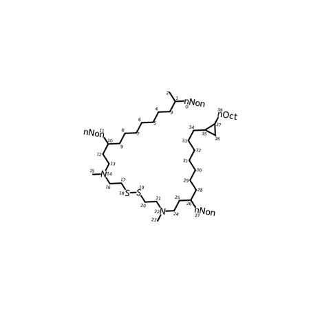 CCCCCCCCCC(C)CCCCCCCC(CCCCCCCCC)CCN(C)CCSSCCN(C)CCC(CCCCCCCCC)CCCCCCCC1CC1CCCCCCCC